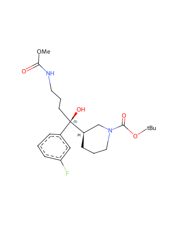 COC(=O)NCCC[C@@](O)(c1cccc(F)c1)[C@@H]1CCCN(C(=O)OC(C)(C)C)C1